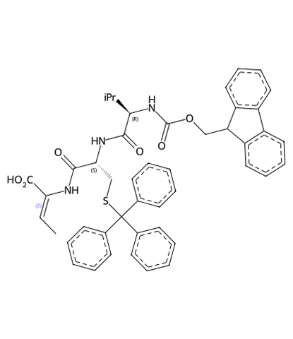 C/C=C(\NC(=O)[C@@H](CSC(c1ccccc1)(c1ccccc1)c1ccccc1)NC(=O)[C@H](NC(=O)OCC1c2ccccc2-c2ccccc21)C(C)C)C(=O)O